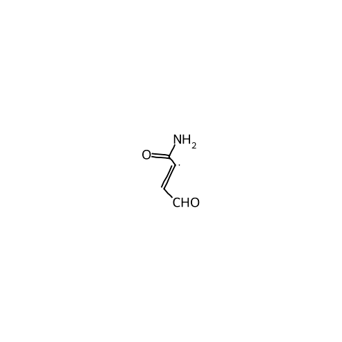 NC(=O)/[C]=C/C=O